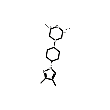 Cc1cn([C@H]2CC[C@H](N3C[C@@H](C)O[C@@H](C)C3)CC2)nc1C